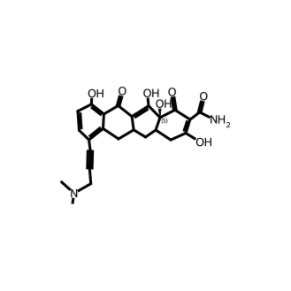 CN(C)CC#Cc1ccc(O)c2c1CC1CC3CC(O)=C(C(N)=O)C(=O)[C@@]3(O)C(O)=C1C2=O